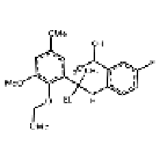 CCC(C)(Pc1ccc(F)cc1C(C)O)c1cc(OC)cc(OC)c1OCOC